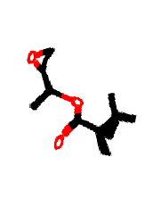 CC(C)=C(C)C(=O)OC(C)C1CO1